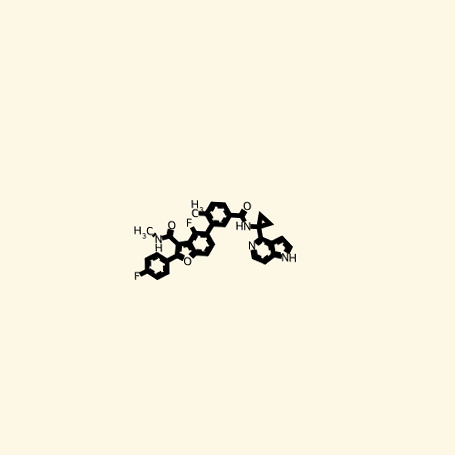 CNC(=O)c1c(-c2ccc(F)cc2)oc2ccc(-c3cc(C(=O)NC4(c5nccc6[nH]ccc56)CC4)ccc3C)c(F)c12